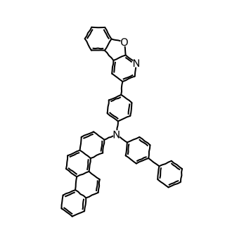 c1ccc(-c2ccc(N(c3ccc(-c4cnc5oc6ccccc6c5c4)cc3)c3ccc4ccc5c6ccccc6ccc5c4c3)cc2)cc1